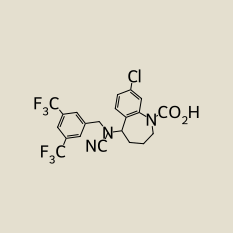 N#CN(Cc1cc(C(F)(F)F)cc(C(F)(F)F)c1)C1CCCN(C(=O)O)c2cc(Cl)ccc21